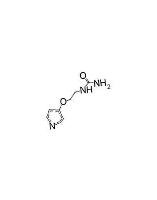 NC(=O)NCCOc1ccncc1